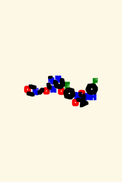 C=Nc1nccc(Oc2ccc(NC(=O)C3(C(=O)Nc4ccc(F)cc4)CC3)cc2F)c1/N=C(\C)OCCN1CCOCC1